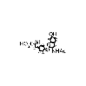 CC(=O)N[C@@H](Cc1ccc(O)cc1)C(=O)Oc1ccc(C[C@H](N)C(=O)O)cc1